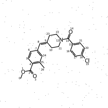 COC(=O)c1ccc(C=C2CCN(C(=O)c3ccc(Cl)cc3)CC2)cc1C